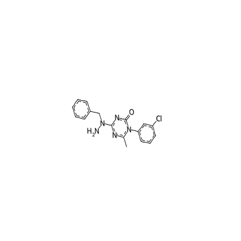 Cc1nc(N(N)Cc2ccccc2)nc(=O)n1-c1cccc(Cl)c1